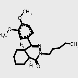 CCCCCN1N=C(c2ccc(OC)c(OC)c2)[C@@H]2CCCC[C@@H]2C1=O